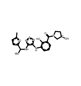 Cc1ccc(C(Nc2nsnc2Nc2cccc(C(=O)N3CC[C@@H](O)C3)c2O)C(C)(C)C)o1